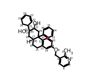 Cc1ncccc1COc1ccc2c(c1)CC[C@@H]1C[C@@](O)(C3C=CC=CC3)[C@@H](O)CC21c1ccccc1